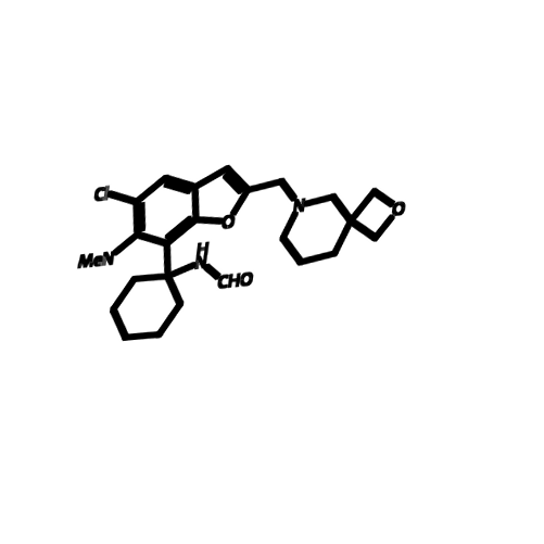 CNc1c(Cl)cc2cc(CN3CCCC4(COC4)C3)oc2c1C1(NC=O)CCCCC1